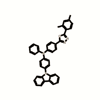 Cc1ccc(-c2nnc(-c3ccc(N(c4ccccc4)c4ccc(-n5c6ccccc6c6ccccc65)cc4)cc3)o2)c(C)c1